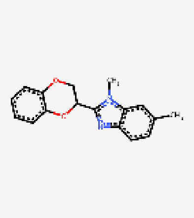 Cc1ccc2nc(C3COc4ccccc4O3)n(C)c2c1